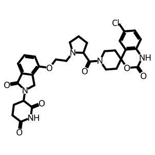 O=C1CCC(N2Cc3c(OCCN4CCCC4C(=O)N4CCC5(CC4)OC(=O)Nc4ccc(Cl)cc45)cccc3C2=O)C(=O)N1